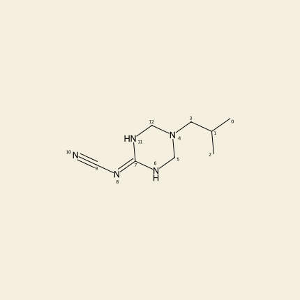 CC(C)CN1CNC(=NC#N)NC1